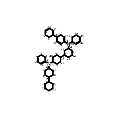 C1=CCCC(N(C2CCC(C3CCCCC3)CC2)C2CCC(C3CCCC(N(C4=CCC(C5CC=CCC5)C=C4)C4C=CCCC4)C3)CC2)=C1